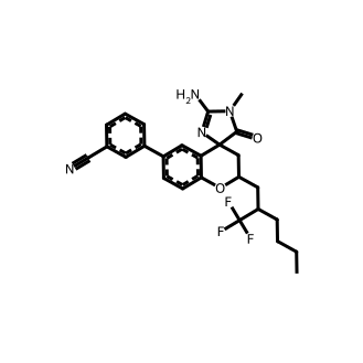 CCCCC(CC1CC2(N=C(N)N(C)C2=O)c2cc(-c3cccc(C#N)c3)ccc2O1)C(F)(F)F